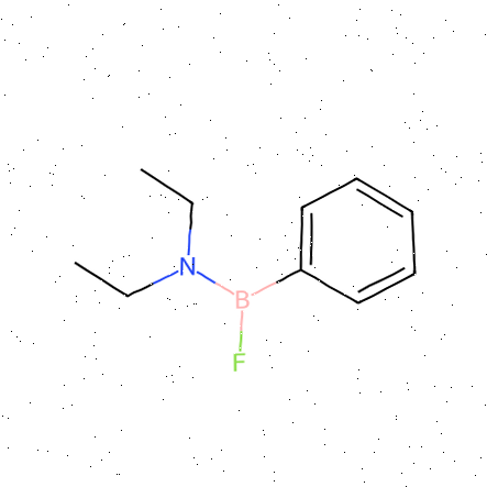 CCN(CC)B(F)c1ccccc1